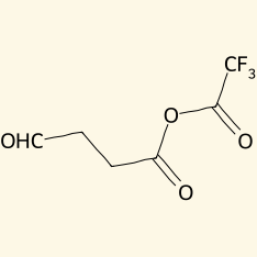 O=CCCC(=O)OC(=O)C(F)(F)F